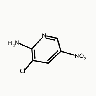 Nc1ncc([N+](=O)[O-])cc1Cl